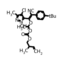 C=CC(C)COC(=O)OC(C)O/C(=C(/C#N)c1ccc(C(C)(C)C)cc1)c1c(Cl)c(C)nn1C